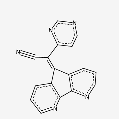 N#CC(=C1c2cccnc2-c2ncccc21)c1ccncn1